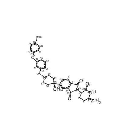 C=C1CCC(N2C(=O)c3ccc(C4(O)CCN(Cc5cccc(Oc6ccc(F)cc6)c5)CC4)cc3C2=O)C(=O)N1